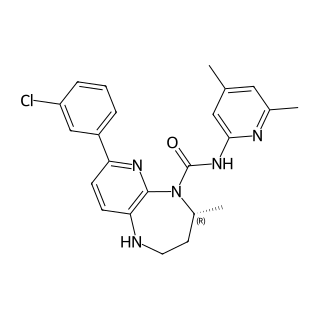 Cc1cc(C)nc(NC(=O)N2c3nc(-c4cccc(Cl)c4)ccc3NCC[C@H]2C)c1